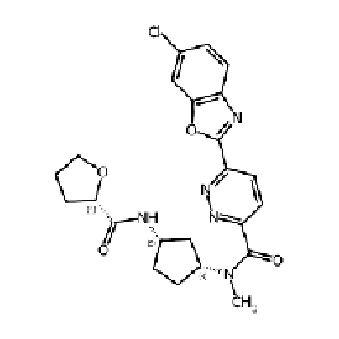 CN(C(=O)c1ccc(-c2nc3ccc(Cl)cc3o2)nn1)[C@@H]1CC[C@H](NC(=O)[C@@H]2CCCO2)C1